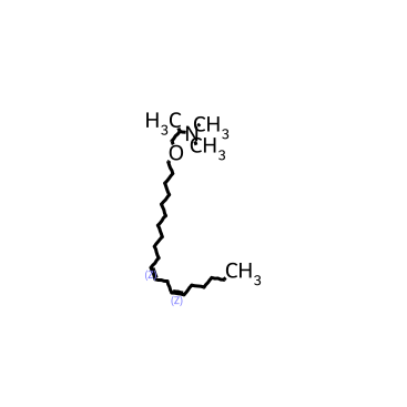 CCCCC/C=C\C/C=C\CCCCCCCCCCOCC(C)N(C)C